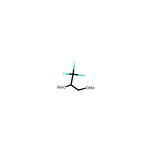 COCC(OC)C(F)(F)F